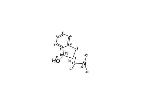 CC([C@H]1Cc2ccccc2[C@H]1O)N(C)C